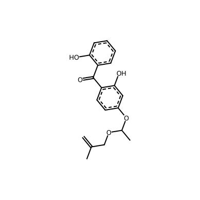 C=C(C)COC(C)Oc1ccc(C(=O)c2ccccc2O)c(O)c1